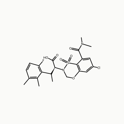 Cc1ccc(F)c(C(C)[C@@H](C(=O)O)N2COc3cc(Cl)cc(C(=O)N(C)C)c3S2(=O)=O)c1C